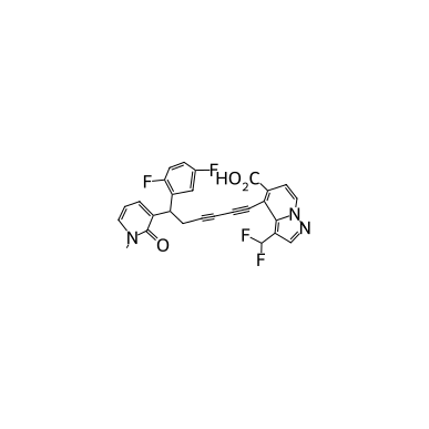 Cn1cccc(C(CC#CC#Cc2c(C(=O)O)ccn3ncc(C(F)F)c23)c2cc(F)ccc2F)c1=O